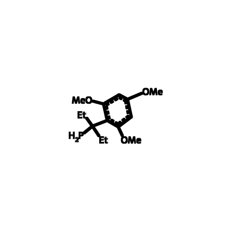 CCC(P)(CC)c1c(OC)cc(OC)cc1OC